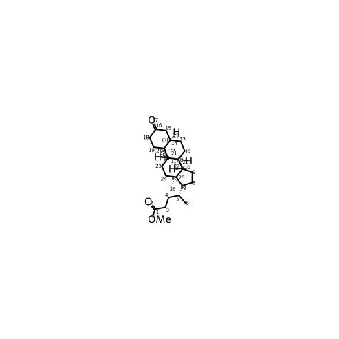 COC(=O)CCC(C)[C@H]1CC[C@H]2[C@@H]3CC[C@@H]4CC(=O)CC[C@]4(C)[C@H]3CC[C@]12C